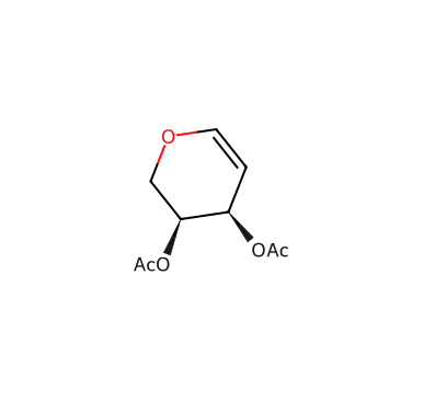 CC(=O)O[C@H]1COC=C[C@H]1OC(C)=O